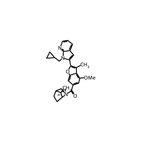 COc1cc(C(=O)N2CC3CCC2[C@@H]3C)cc2oc(-c3cc4cccnc4n3CC3CC3)c(C)c12